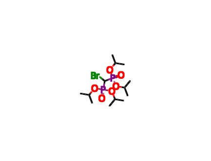 CC(C)OP(=O)(OC(C)C)C(Br)P(=O)(OC(C)C)OC(C)C